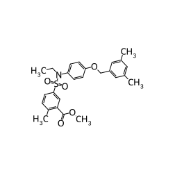 CCN(c1ccc(OCc2cc(C)cc(C)c2)cc1)S(=O)(=O)c1ccc(C)c(C(=O)OC)c1